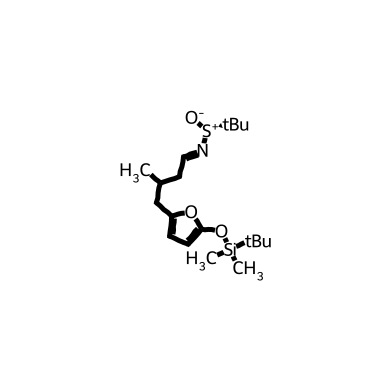 CC(C/C=N/[S@@+]([O-])C(C)(C)C)Cc1ccc(O[Si](C)(C)C(C)(C)C)o1